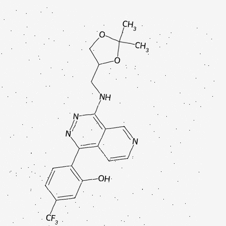 CC1(C)OCC(CNc2nnc(-c3ccc(C(F)(F)F)cc3O)c3ccncc23)O1